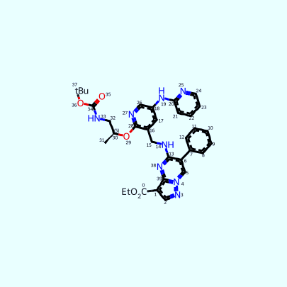 CCOC(=O)c1cnn2cc(-c3ccccc3)c(NCc3cc(Nc4ccccn4)cnc3O[C@@H](C)CNC(=O)OC(C)(C)C)nc12